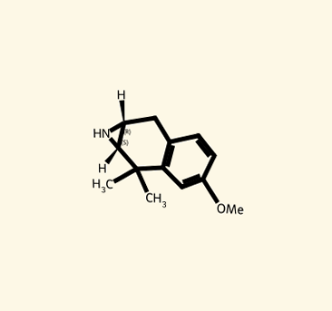 COc1ccc2c(c1)C(C)(C)[C@@H]1N[C@@H]1C2